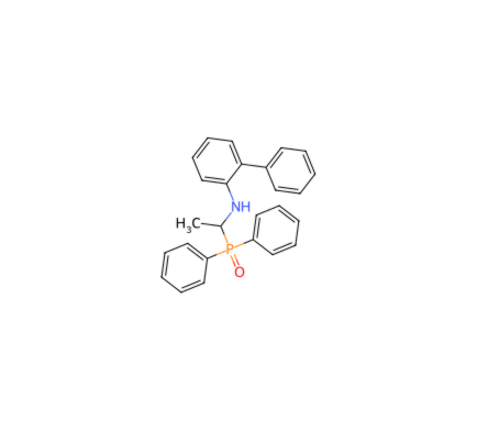 CC(Nc1ccccc1-c1ccccc1)P(=O)(c1ccccc1)c1ccccc1